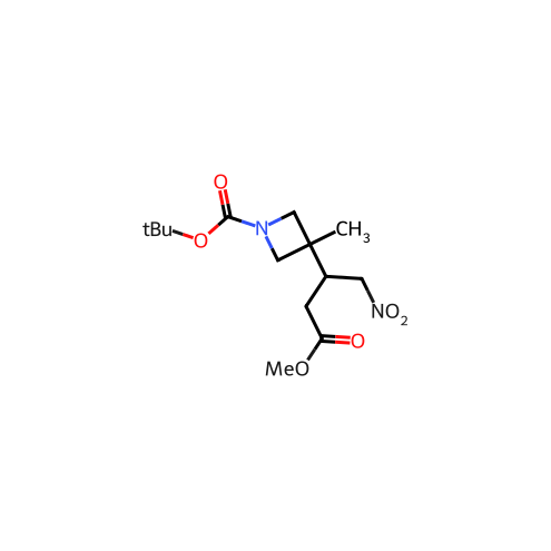 COC(=O)CC(C[N+](=O)[O-])C1(C)CN(C(=O)OC(C)(C)C)C1